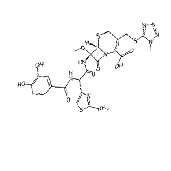 CO[C@@]1(NC(=O)C(NC(=O)c2ccc(O)c(O)c2)c2csc(N)n2)C(=O)N2C(C(=O)O)=C(CSc3nnnn3C)CS[C@H]21